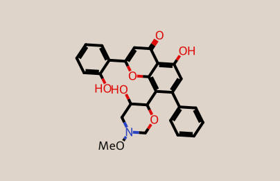 CON1COC(c2c(-c3ccccc3)cc(O)c3c(=O)cc(-c4ccccc4O)oc23)C(O)C1